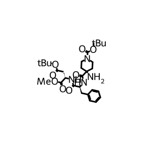 COC(=O)[C@H](CC(=O)OC(C)(C)C)NC(=O)[C@H](Cc1ccccc1)NC(=O)C1(N)CCN(C(=O)OC(C)(C)C)CC1